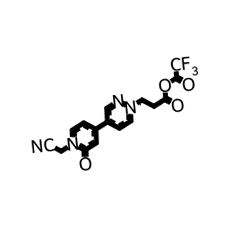 N#CCn1ccc(-c2cc[n+](CCC(=O)OC(=O)C(F)(F)F)nc2)cc1=O